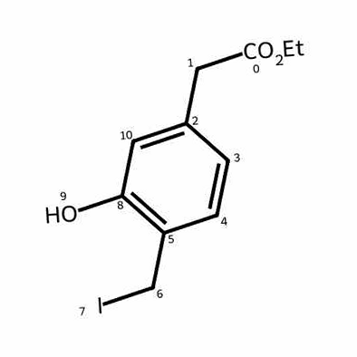 CCOC(=O)Cc1ccc(CI)c(O)c1